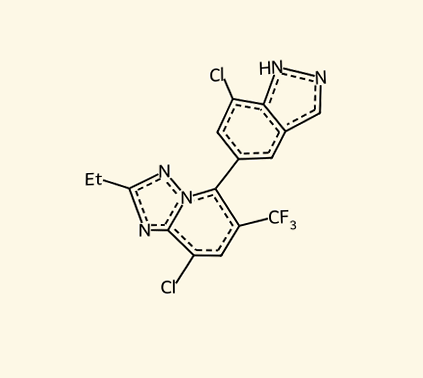 CCc1nc2c(Cl)cc(C(F)(F)F)c(-c3cc(Cl)c4[nH]ncc4c3)n2n1